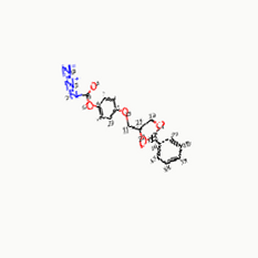 [N-]=[N+]=NC(=O)Oc1ccc(OCC2COB(c3ccccc3)O2)cc1